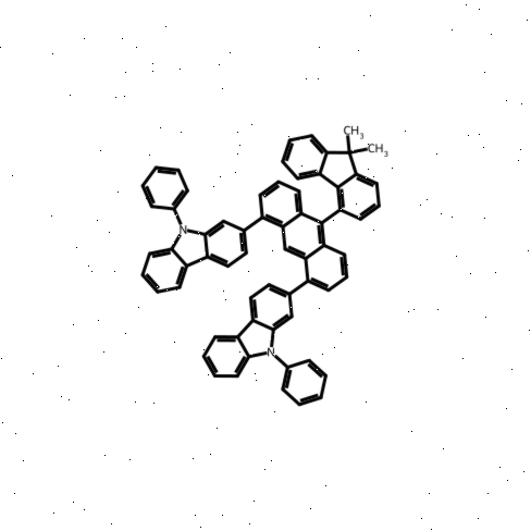 CC1(C)c2ccccc2-c2c(-c3c4cccc(-c5ccc6c7ccccc7n(-c7ccccc7)c6c5)c4cc4c(-c5ccc6c7ccccc7n(-c7ccccc7)c6c5)cccc34)cccc21